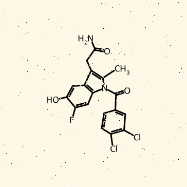 Cc1c(CC(N)=O)c2cc(O)c(F)cc2n1C(=O)c1ccc(Cl)c(Cl)c1